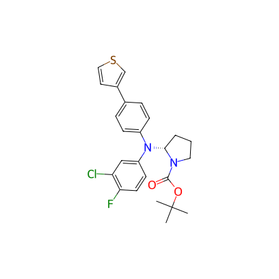 CC(C)(C)OC(=O)N1CCC[C@H]1N(c1ccc(-c2ccsc2)cc1)c1ccc(F)c(Cl)c1